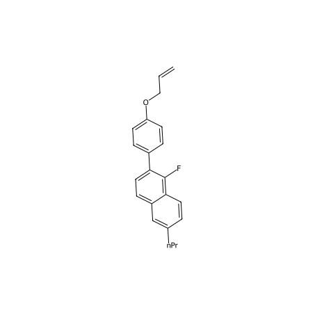 C=CCOc1ccc(-c2ccc3cc(CCC)ccc3c2F)cc1